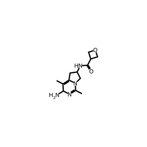 CC1=NC(N)C(C)=C2CC(NC(=O)C3COC3)CN12